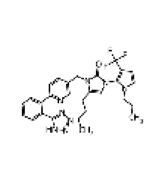 CCCCc1cn(-c2c(C(F)(F)F)ccn2CCC)c(=O)n1Cc1ccc(-c2ccccc2-c2nnn[nH]2)nc1